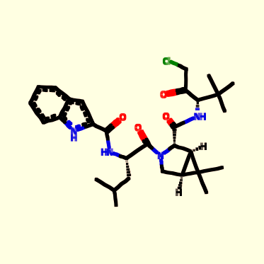 CC(C)C[C@H](NC(=O)c1cc2ccccc2[nH]1)C(=O)N1C[C@H]2[C@@H]([C@H]1C(=O)N[C@H](C(=O)CCl)C(C)(C)C)C2(C)C